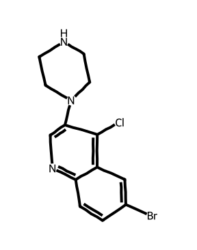 Clc1c(N2CCNCC2)cnc2ccc(Br)cc12